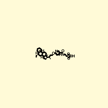 CC[C@H]1C[C@H]2C3CC[C@H]([C@H](C)CCOc4ccc(C(=O)NCCS(=O)(=O)O)cn4)[C@@]3(C)CC[C@@H]2[C@@]2(C)CCCC[C@@H]12